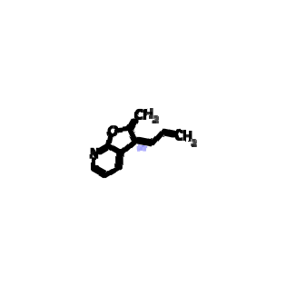 C=C/C=c1\c(=C)oc2ncccc12